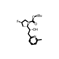 Cc1cccc(C[C@@H](O)[C@@H]2C[C@@H](F)CN2C(=O)OC(C)(C)C)n1